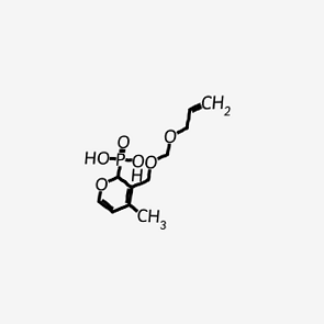 C=CCOCOCC1=C(C)C=COC1P(=O)(O)O